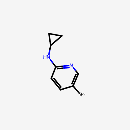 CC(C)c1ccc(NC2CC2)nc1